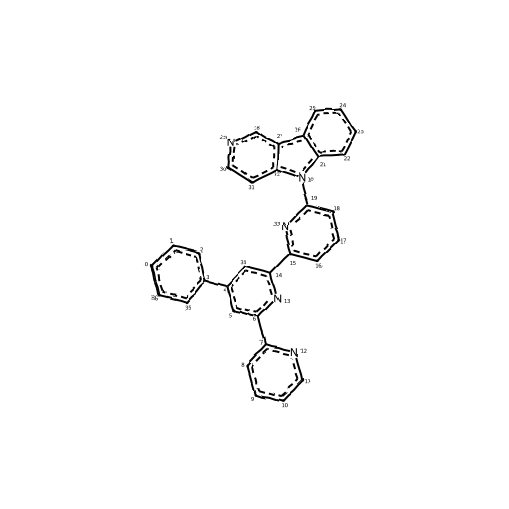 c1ccc(-c2cc(-c3ccccn3)nc(-c3cccc(-n4c5ccccc5c5cnccc54)n3)c2)cc1